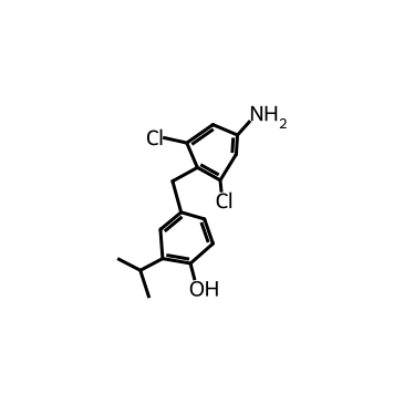 CC(C)c1cc(Cc2c(Cl)cc(N)cc2Cl)ccc1O